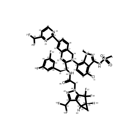 Cn1nc(NS(C)(=O)=O)c2c(Cl)ccc(N3Cc4ccc(-c5nccc(C(F)F)n5)cc4N=C3[C@H](Cc3cc(F)cc(F)c3)NC(=O)Cn3nc(C(F)F)c4c3C(F)(F)[C@@H]3C[C@H]43)c21